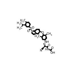 Cc1ccc(S(=O)(=O)n2ccc3cc(Oc4c(C)cc(N/N=C(/C#N)C(=O)NC(=O)O)cc4C)ccc32)cc1C(C)C